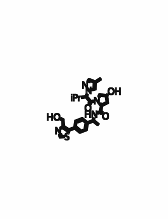 Cc1cnn(C(C(=O)N2CC(O)CC2C(=O)NC(C)c2ccc(-c3scnc3CO)cc2)C(C)C)c1